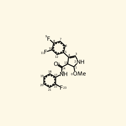 COC1NC=C(c2ccc(F)c(F)c2)C1C(=O)Nc1ccccc1F